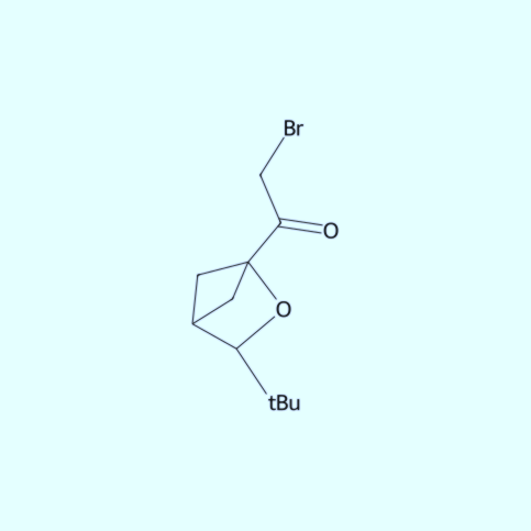 CC(C)(C)C1OC2(C(=O)CBr)CC1C2